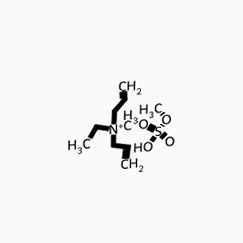 C=CC[N+](C)(CC)CC=C.COS(=O)(=O)O